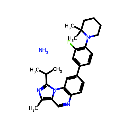 Cc1nc(C(C)C)n2c1cnc1ccc(-c3ccc(N4CCCCC4(C)C)c(F)c3)cc12.N